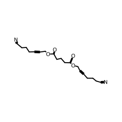 N#CCCCC#CCOC(=O)CCCC(=O)OCC#CCCCC#N